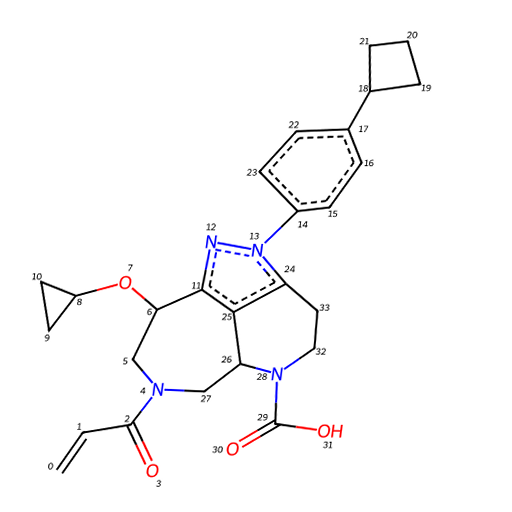 C=CC(=O)N1CC(OC2CC2)c2nn(-c3ccc(C4CCC4)cc3)c3c2C(C1)N(C(=O)O)CC3